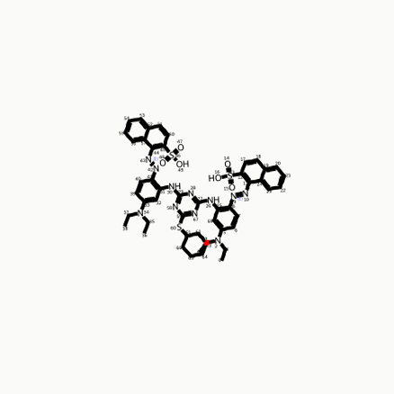 CCN(CC)c1ccc(/N=N/c2c(S(=O)(=O)O)ccc3ccccc23)c(Nc2nc(Nc3cc(N(CC)CC)ccc3/N=N/c3c(S(=O)(=O)O)ccc4ccccc34)nc(SC3CCCCC3)n2)c1